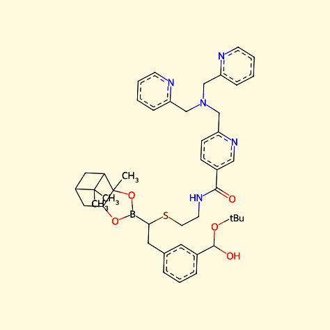 CC(C)(C)OC(O)c1cccc(CC(SCCNC(=O)c2ccc(CN(Cc3ccccn3)Cc3ccccn3)nc2)B2OC3CC4CC(C4(C)C)C3(C)O2)c1